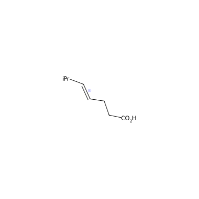 CC(C)/C=C/CCC(=O)O